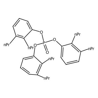 CCCc1cccc(OP(=O)(Oc2cccc(CCC)c2CCC)Oc2cccc(CCC)c2CCC)c1CCC